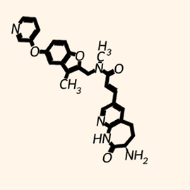 Cc1c(CN(C)C(=O)/C=C/c2cnc3c(c2)CC[C@H](N)C(=O)N3)oc2ccc(Oc3cccnc3)cc12